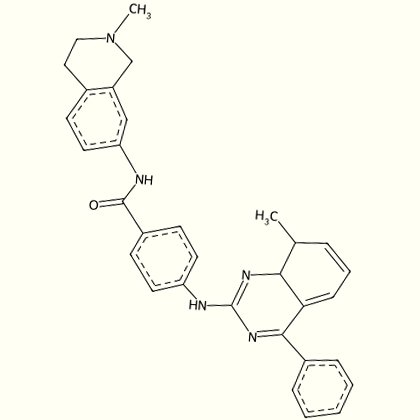 CC1C=CC=C2C(c3ccccc3)=NC(Nc3ccc(C(=O)Nc4ccc5c(c4)CN(C)CC5)cc3)=NC21